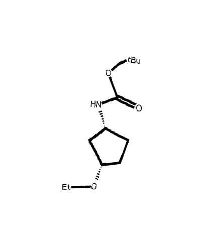 CCO[C@H]1CC[C@@H](NC(=O)OC(C)(C)C)C1